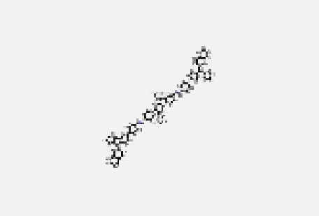 C(=C\c1ccc2c(c1)C1(CCCC1)c1cc3c(cc1-2)C1(CCCC1)c1cc(/C=C/c2ccc(-c4ccc5c(c4)c4ccccc4n5-c4ccc5ccccc5c4)cc2)ccc1-3)/c1ccc(-c2ccc3c(c2)c2ccccc2n3-c2ccc3ccccc3c2)cc1